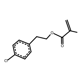 C=C(C)C(=O)OCCc1ccc(Cl)cc1